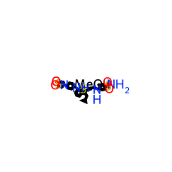 COc1cc(S(N)(=O)=O)ccc1NCC#Cc1sc2c(NC3CCC(N4CCS(=O)(=O)CC4)CC3)cccc2c1CC1CC1